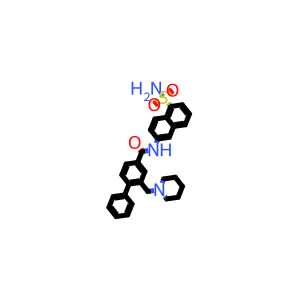 NS(=O)(=O)c1cccc2cc(NC(=O)c3ccc(-c4ccccc4)c(CN4CCCCC4)c3)ccc12